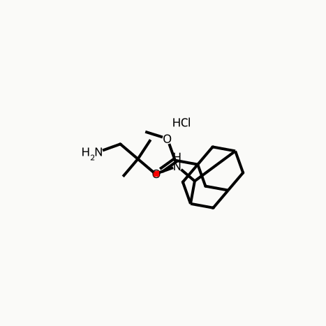 COC(=O)C12CC3CC(C1)C(NCC(C)(C)CN)C(C3)C2.Cl